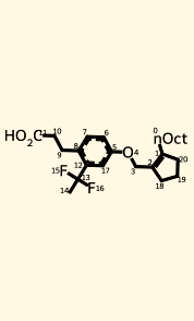 CCCCCCCCC1=C(COc2ccc(CCC(=O)O)c(C(C)(F)F)c2)CCC1